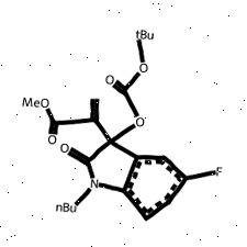 C=C(C(=O)OC)C1(OC(=O)OC(C)(C)C)C(=O)N(CCCC)c2ccc(F)cc21